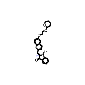 CC(=O)N1/C(=C\c2ccc3cc(OCCOC4CCCCO4)ccc3n2)C(=O)c2ccccc21